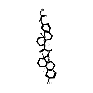 CN(C(=O)[C@@]1(C)CCC[C@]2(C)c3cc(O)ccc3CC[C@@H]12)C(=O)[C@@]1(C)CCC[C@]2(C)c3cc(NC(=O)OC(C)(C)C)ccc3CC[C@@]12C